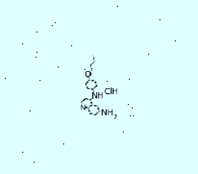 CCCCOc1ccc(Nc2ccnc3ccc(N)cc23)cc1.Cl